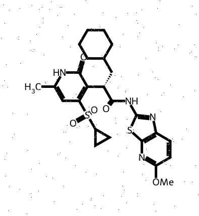 COc1ccc2nc(NC(=O)[C@@H](CC3CCCCC3)c3c(S(=O)(=O)C4CC4)cc(C)[nH]c3=O)sc2n1